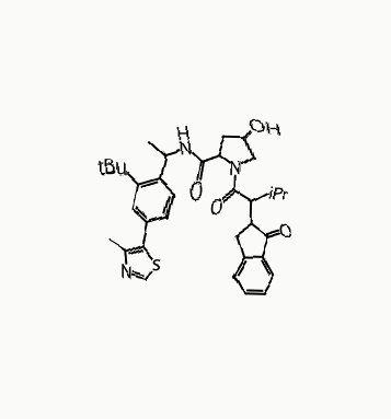 Cc1ncsc1-c1ccc(C(C)NC(=O)C2CC(O)CN2C(=O)C(C(C)C)C2Cc3ccccc3C2=O)c(C(C)(C)C)c1